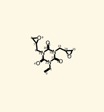 C=Cn1c(=O)n(CC2CO2)c(=O)n(CC2CO2)c1=O